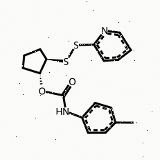 [CH2]c1ccc(NC(=O)O[C@@H]2CCC[C@H]2SSc2ccccn2)cc1